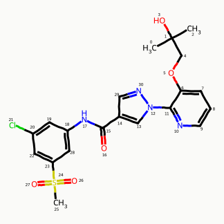 CC(C)(O)COc1cccnc1-n1cc(C(=O)Nc2cc(Cl)cc(S(C)(=O)=O)c2)cn1